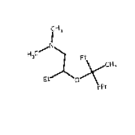 CCCC(C)(CC)OC(CC)CN(C)C